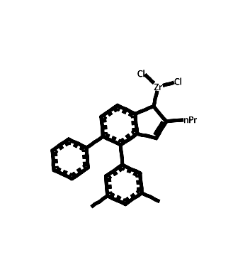 CCCC1=Cc2c(ccc(-c3ccccc3)c2-c2cc(C)cc(C)c2)[CH]1[Zr]([Cl])[Cl]